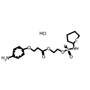 Cl.Nc1ccc(OCCC(=O)OCCOS(=O)(=O)NC2CCCCC2)cc1